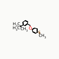 CSc1ccc(OCc2cccc(C(C)(C)C)c2)cc1